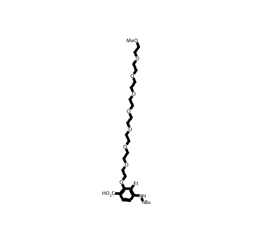 CCCCNc1ccc(C(=O)O)c(OCCOCCOCCOCCOCCOCCOCCOCCOC)c1CC